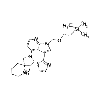 C[Si](C)(C)CCOCn1cc(-c2nccs2)c2c(N3CCC4(CCCCN4)C3)ccnc21